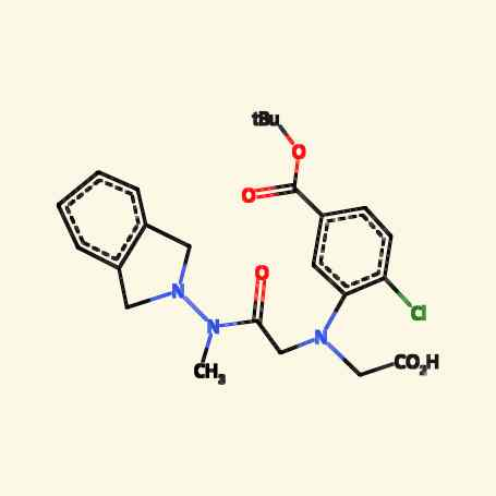 CN(C(=O)CN(CC(=O)O)c1cc(C(=O)OC(C)(C)C)ccc1Cl)N1Cc2ccccc2C1